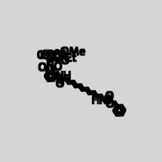 CCOc1cc([C@@H](CS(C)(=O)=O)N2C(=O)c3cccc(NC(=O)CCCCCCCCCCCNC(=O)OCc4ccccc4)c3C2=O)ccc1OC